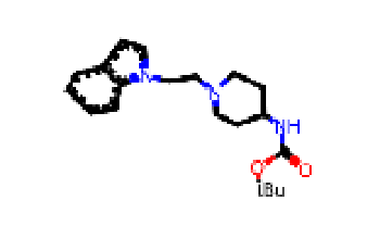 CC(C)(C)OC(=O)NC1CCN(CCn2ccc3ccccc32)CC1